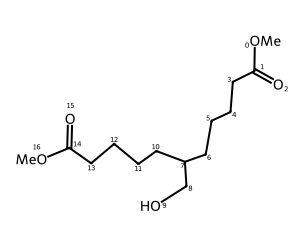 COC(=O)CCCCC(CO)CCCCC(=O)OC